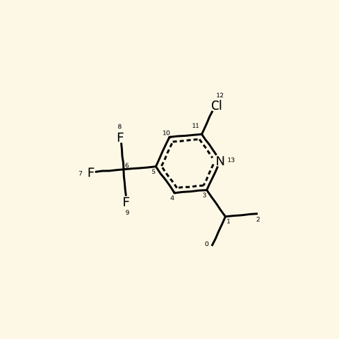 CC(C)c1cc(C(F)(F)F)cc(Cl)n1